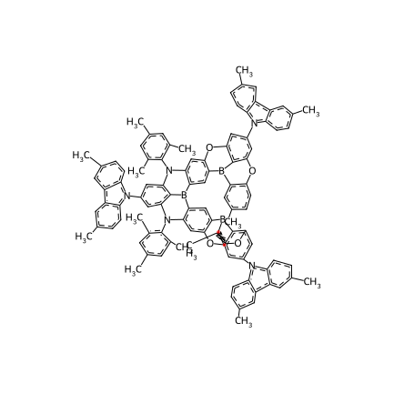 Cc1cc(C)c(N2c3cc4c(cc3B3c5cc6c(cc5N(c5c(C)cc(C)cc5C)c5cc(-n7c8ccc(C)cc8c8cc(C)ccc87)cc2c53)Oc2cc(-n3c5ccc(C)cc5c5cc(C)ccc53)cc3c2B6c2cc(C)ccc2O3)B2c3cc(C)ccc3Oc3cc(-n5c6ccc(C)cc6c6cc(C)ccc65)cc(c32)O4)c(C)c1